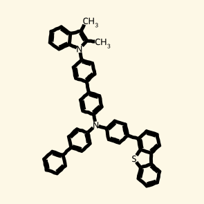 Cc1c(C)n(-c2ccc(-c3ccc(N(c4ccc(-c5ccccc5)cc4)c4ccc(-c5cccc6c5sc5ccccc56)cc4)cc3)cc2)c2ccccc12